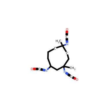 CC1(N=C=O)CCCC(N=C=O)CC(C)(N=C=O)CC1